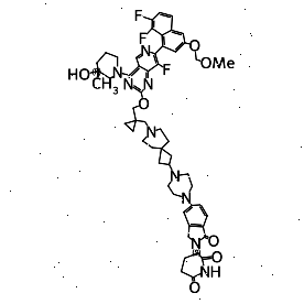 COCOc1cc(-c2ncc3c(N4CCC[C@@](C)(O)C4)nc(OCC4(CN5CCC6(CC5)CC(N5CCN(c7ccc8c(c7)CN([C@H]7CCC(=O)NC7=O)C8=O)CC5)C6)CC4)nc3c2F)c2c(F)c(F)ccc2c1